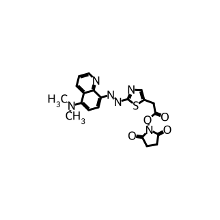 CN(C)c1ccc(N=Nc2ncc(CC(=O)ON3C(=O)CCC3=O)s2)c2ncccc12